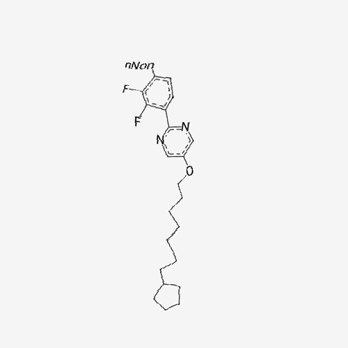 CCCCCCCCCc1ccc(-c2ncc(OCCCCCCCC3CCCC3)cn2)c(F)c1F